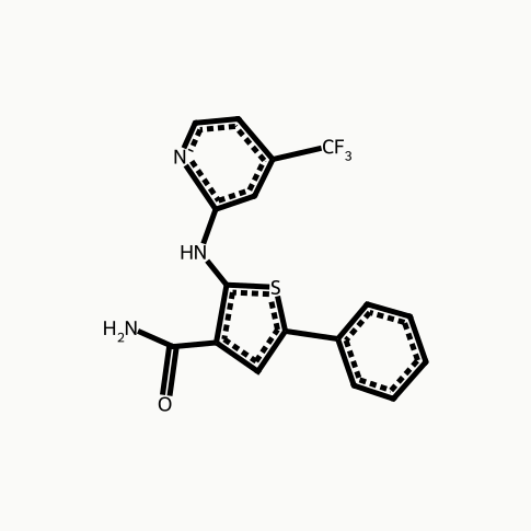 NC(=O)c1cc(-c2ccccc2)sc1Nc1cc(C(F)(F)F)ccn1